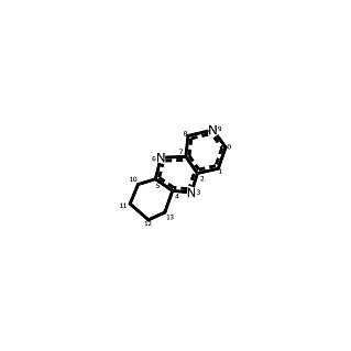 c1cc2nc3c(nc2cn1)CCCC3